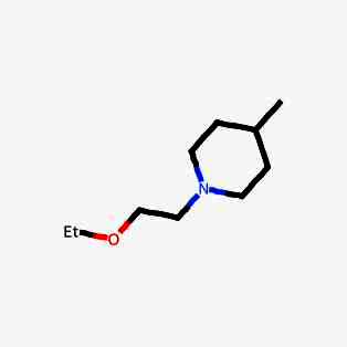 CCOCCN1CCC(C)CC1